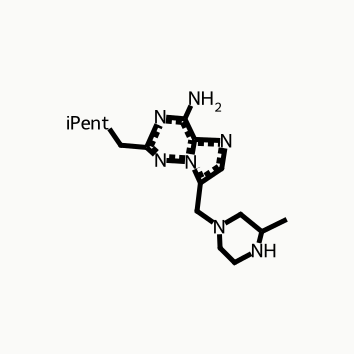 CCCC(C)Cc1nc(N)c2ncc(CN3CCNC(C)C3)n2n1